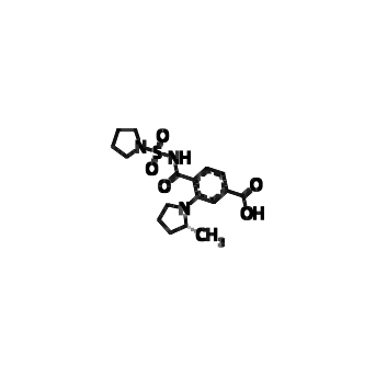 C[C@@H]1CCCN1c1cc(C(=O)O)ccc1C(=O)NS(=O)(=O)N1CCCC1